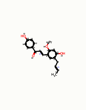 C/C=C/Cc1cc(/C=C/C(=O)c2ccc(O)cc2)c(OC(C)C)cc1O